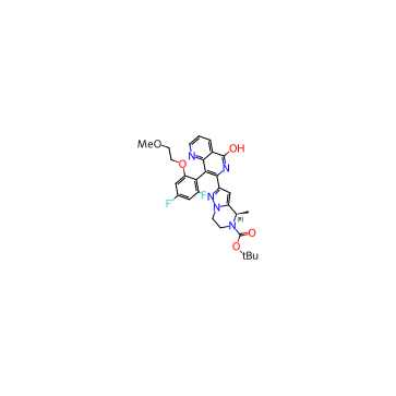 COCCOc1cc(F)cc(F)c1-c1c(-c2cc3n(n2)CCN(C(=O)OC(C)(C)C)[C@@H]3C)nc(O)c2cccnc12